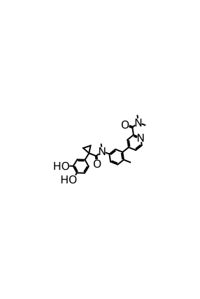 Cc1ccc(N(C)C(=O)C2(c3ccc(O)c(O)c3)CC2)cc1-c1ccnc(C(=O)N(C)C)c1